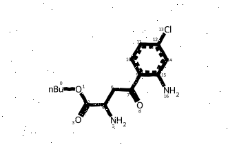 CCCCOC(=O)C(N)CC(=O)c1ccc(Cl)cc1N